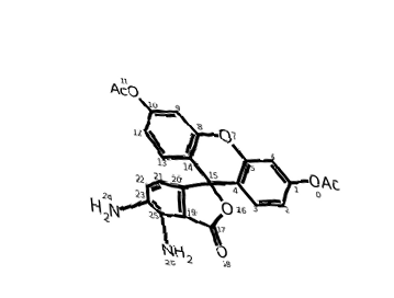 CC(=O)Oc1ccc2c(c1)Oc1cc(OC(C)=O)ccc1C21OC(=O)c2c1ccc(N)c2N